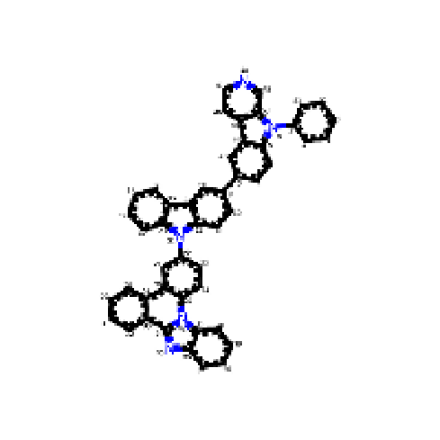 c1ccc(-n2c3ccc(-c4ccc5c(c4)c4ccccc4n5-c4ccc5c(c4)c4ccccc4c4nc6ccccc6n54)cc3c3ccncc32)cc1